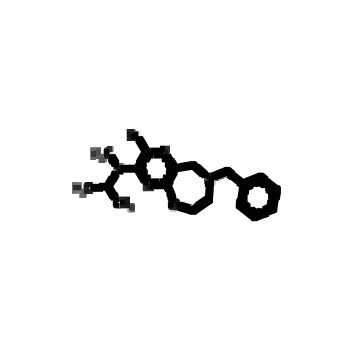 CC(C)N(C)c1nc2c(nc1Br)CN(Cc1ccccc1)CCO2